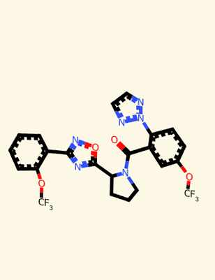 O=C(c1cc(OC(F)(F)F)ccc1-n1nccn1)N1CCCC1c1nc(-c2ccccc2OC(F)(F)F)no1